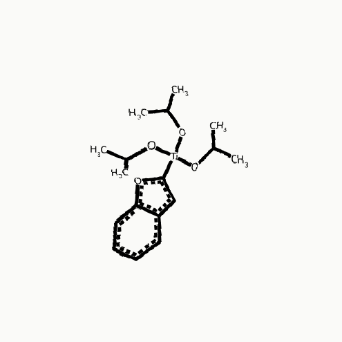 CC(C)[O][Ti]([O]C(C)C)([O]C(C)C)[c]1cc2ccccc2o1